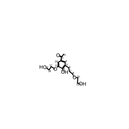 CC(=O)c1cc(CCCOCCO)c(O)c(OCCO)c1